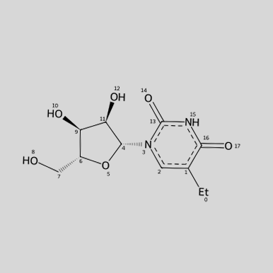 CCc1cn([C@@H]2O[C@H](CO)[C@@H](O)[C@H]2O)c(=O)[nH]c1=O